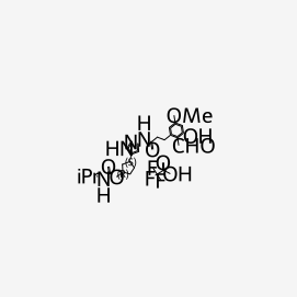 COc1cc(O)c(C=O)c(CCC(=O)Nc2cc([C@H]3CC[C@@H](OC(=O)NC(C)C)C3)[nH]n2)c1.O=C(O)C(F)(F)F